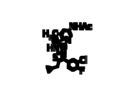 CC(=O)Nc1cnc(S(=O)(=O)Nc2nc(-c3ccc(F)c(Cl)c3)c(CC3CC3)s2)c(C)c1